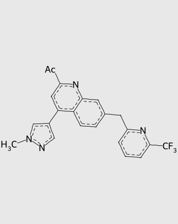 CC(=O)c1cc(-c2cnn(C)c2)c2ccc(Cc3cccc(C(F)(F)F)n3)cc2n1